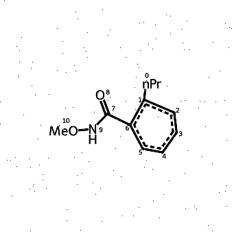 CCCc1ccccc1C(=O)NOC